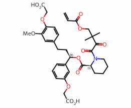 C=CC(=O)OCC(C)(C)C(=O)C(=O)N1CCCC[C@H]1C(=O)O[C@H](CCc1ccc(OCC(=O)O)c(OC)c1)c1cccc(OCC(=O)O)c1